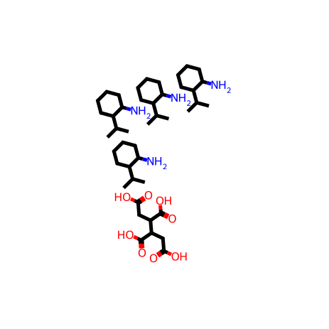 CC(C)C1CCCCC1N.CC(C)C1CCCCC1N.CC(C)C1CCCCC1N.CC(C)C1CCCCC1N.O=C(O)CC(C(=O)O)C(CC(=O)O)C(=O)O